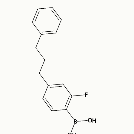 OB(O)c1ccc(CCCc2ccccc2)cc1F